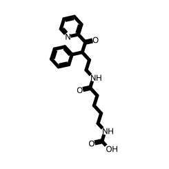 O=C(O)NCCCCC(=O)NCCC(C(=O)c1ccccn1)c1ccccc1